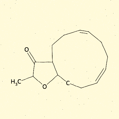 CC1OC2CC/C=C\CC/C=C\CCC2C1=O